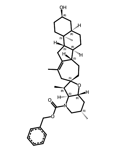 CC1=C2C[C@H]3[C@@H](CC[C@@H]4C[C@H](O)CC[C@@]43C)[C@@H]2CC[C@@]2(C1)O[C@@H]1C[C@H](C)CN(C(=O)OCc3ccccc3)[C@H]1[C@H]2C